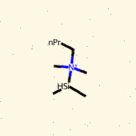 CCCC[N+](C)(C)[SiH](C)C